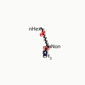 CCCCCC/C=C\COC(=O)CCCCCCCCC(CCCCCCCCC)OC(=O)C1CCN(C)CC1